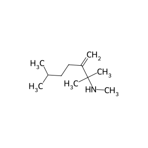 C=C(CCC(C)C)C(C)(C)NC